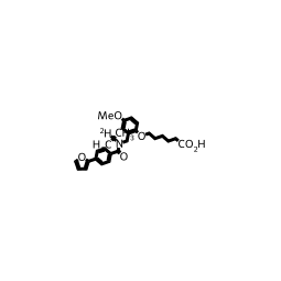 [2H]C(C)(C)N(Cc1cc(OC)ccc1OCCCCCC(=O)O)C(=O)c1ccc(-c2ccco2)cc1